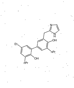 CCCc1cc(-c2cc(CC)cc(CCC)c2O)cc(Cc2ncc[nH]2)c1O